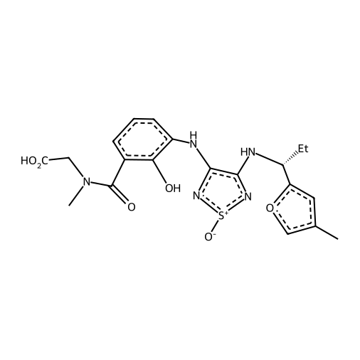 CC[C@@H](Nc1n[s+]([O-])nc1Nc1cccc(C(=O)N(C)CC(=O)O)c1O)c1cc(C)co1